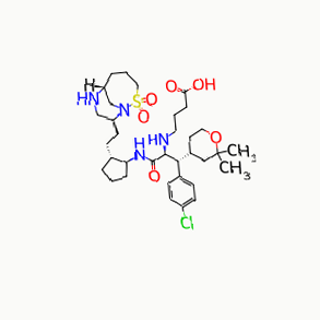 CC1(C)CC([C@H](c2ccc(Cl)cc2)[C@H](NCCCC(=O)O)C(=O)N[C@H]2CCC[C@@H]2CC[C@H]2CN[C@@H]3CCCS(=O)(=O)N2C3)CCO1